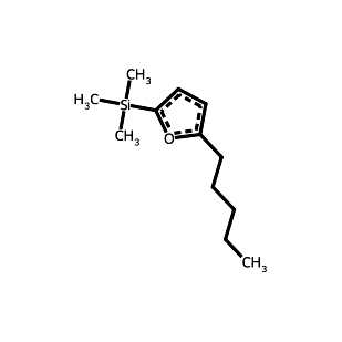 CCCCCc1ccc([Si](C)(C)C)o1